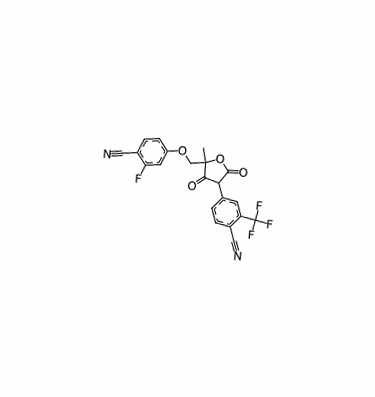 CC1(COc2ccc(C#N)c(F)c2)OC(=O)C(c2ccc(C#N)c(C(F)(F)F)c2)C1=O